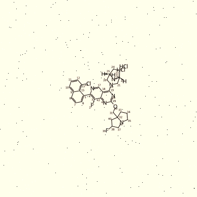 Cl.Cl.Fc1c(-c2cccc3cccc(Cl)c23)ncc2c(N3C[C@H]4CC[C@@H](C3)N4)nc(OCC34CCCN3CC(F)C4)nc12